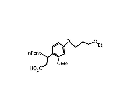 CCCCCC(CC(=O)O)c1ccc(OCCCOCC)cc1OC